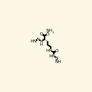 N=NNC(=O)NCCC[C@H](NN=N)C(=O)ON